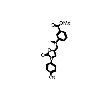 COC(=O)c1cccc(N(C)CC2CN(c3ccc(C#N)cc3)C(=O)O2)c1